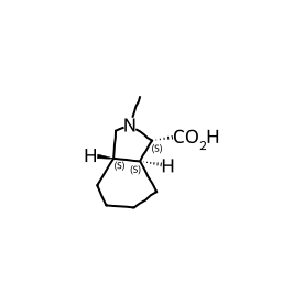 CN1C[C@H]2CCCC[C@@H]2[C@H]1C(=O)O